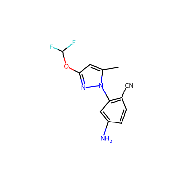 Cc1cc(OC(F)F)nn1-c1cc(N)ccc1C#N